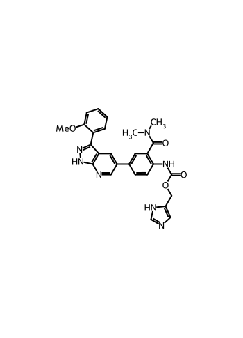 COc1ccccc1-c1n[nH]c2ncc(-c3ccc(NC(=O)OCc4cnc[nH]4)c(C(=O)N(C)C)c3)cc12